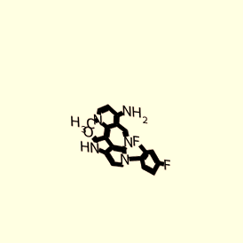 CN1C=CC(N)=c2cnc3c4c([nH]c(=O)c-4c21)=CCN3c1ccc(F)cc1F